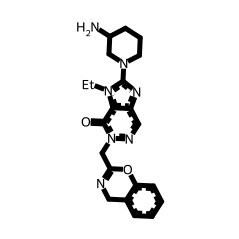 CCn1c(N2CCCC(N)C2)nc2cnn(CC3=NCc4ccccc4O3)c(=O)c21